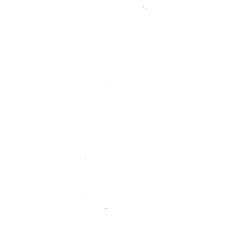 COC(=O)C1=Cc2cc(Cl)ccc2C(N2CCC(C3CCN(C(=O)CC4CCN(C(N)=O)CC4)CC3)CC2)c2ncc(Cl)cc21